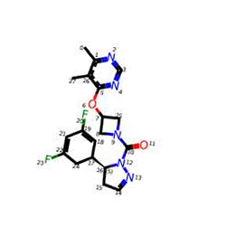 Cc1ncnc(OC2CN(C(=O)N3N=CC[C@H]3C3C=C(F)C=C(F)C3)C2)c1C